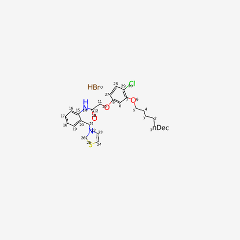 Br.CCCCCCCCCCCCCCOc1cc(OCC(=O)Nc2ccccc2CN2C=CSC2)ccc1Cl